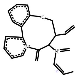 C=CC1CCc2ccccc2-c2cccc[n+]2C(=C)C1[N+](=C)/C=C\C